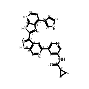 O=C(Nc1cncc(-c2cc3c(-c4nc5c(-c6ccsc6)ccnc5[nH]4)n[nH]c3cn2)c1)C1CC1